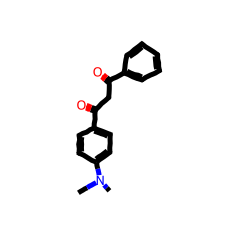 CN(C)c1ccc(C(=O)CC(=O)c2ccccc2)cc1